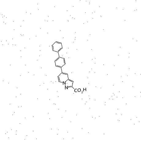 O=C(O)c1cc2cc(-c3ccc(-c4ccccc4)cc3)ccn2n1